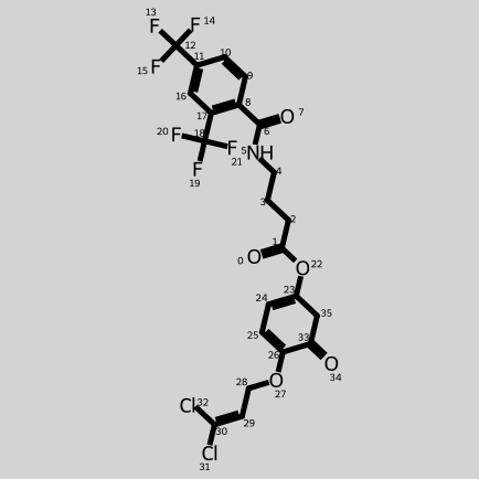 O=C(CCCNC(=O)c1ccc(C(F)(F)F)cc1C(F)(F)F)OC1=CC=C(OCC=C(Cl)Cl)C(=O)C1